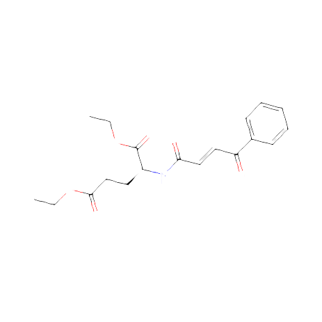 CCOC(=O)CC[C@H](NC(=O)/C=C/C(=O)c1ccccc1)C(=O)OCC